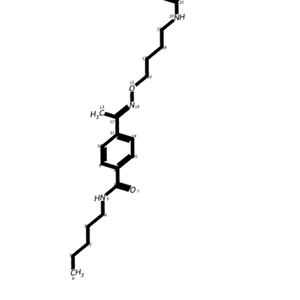 CCCCCNC(=O)c1ccc(/C(C)=N/OCCCCNC(C)=O)cc1